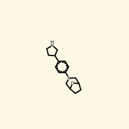 c1cc(N2CC3CCC(C2)O3)ccc1C1CCNC1